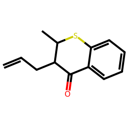 C=CCC1C(=O)c2ccccc2SC1C